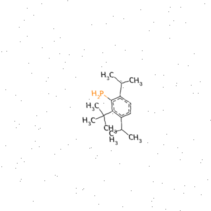 CC(C)c1ccc(C(C)C)c(C(C)(C)C)c1P